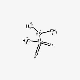 C[SH](C)S(C)(=O)=O